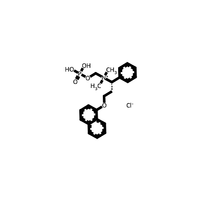 C[N+](C)(COP(=O)(O)O)[C@@H](CCOc1cccc2ccccc12)c1ccccc1.[Cl-]